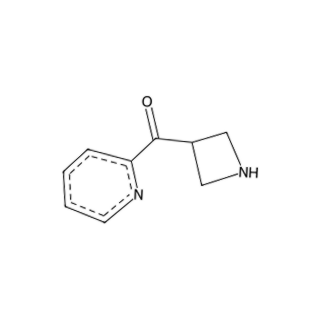 O=C(c1ccccn1)C1CNC1